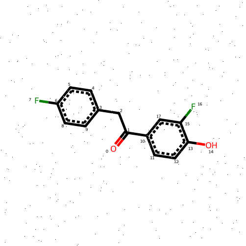 O=C(Cc1ccc(F)cc1)c1ccc(O)c(F)c1